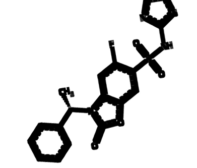 C[C@@H](c1ccccc1)n1c(=O)oc2cc(S(=O)(=O)Nc3ncns3)c(F)cc21